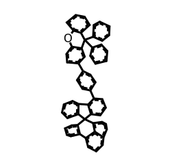 c1ccc(C2(c3ccccc3)c3ccccc3Oc3ccc(-c4ccc(-c5cccc6c5-c5ccccc5C65c6ccccc6-c6cccc7cccc5c67)cc4)cc32)cc1